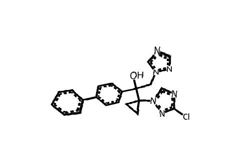 OC(Cn1cncn1)(c1ccc(-c2ccccc2)cc1)C1(n2cnc(Cl)n2)CC1